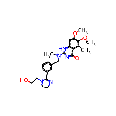 COc1cc2[nH]c(N(C)Cc3cccc(C4=NCCN4CCO)c3)nc(=O)c2c(C)c1OC